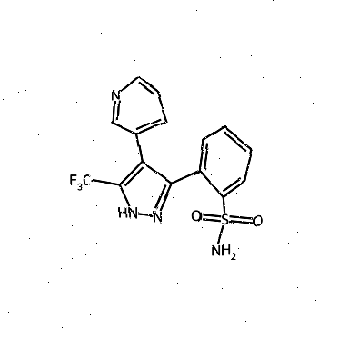 NS(=O)(=O)c1ccccc1-c1n[nH]c(C(F)(F)F)c1-c1cccnc1